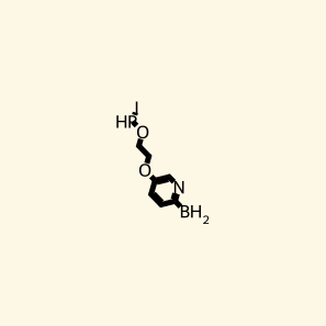 Bc1ccc(OCCOPI)cn1